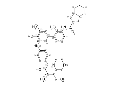 Cc1c(NC(=O)C2=CC3CCCCC3S2)cccc1-c1cn(C)c(=O)c(Nc2ccc(C(C(=O)N(C)CCO)N3CCOCC3)cc2)n1